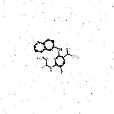 C[C@H](CN)Nc1nc(Nc2ccc3ncccc3c2)c(C(N)=O)cc1F